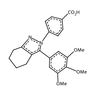 COc1cc(-c2c3c(nn2-c2ccc(C(=O)O)cc2)CCCC3)cc(OC)c1OC